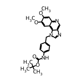 COc1cc2ncc3ncn(Cc4ccc(NC(=O)OC(C)(C)C)cc4)c3c2cc1OC